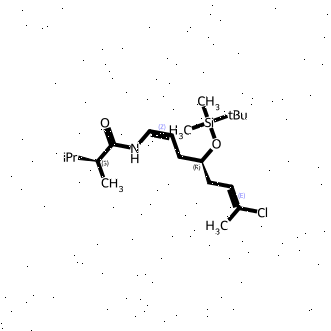 C/C(Cl)=C\C[C@@H](C/C=C\NC(=O)[C@@H](C)C(C)C)O[Si](C)(C)C(C)(C)C